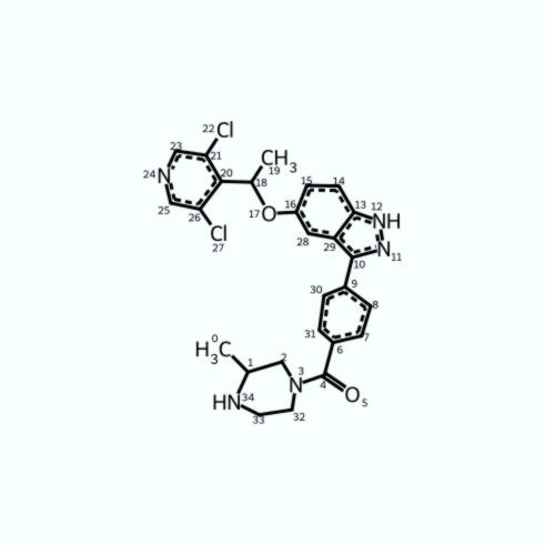 CC1CN(C(=O)c2ccc(-c3n[nH]c4ccc(OC(C)c5c(Cl)cncc5Cl)cc34)cc2)CCN1